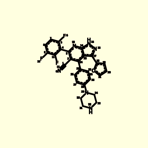 N#Cc1c(-c2c(F)ccc(F)c2F)nc2[nH]nc(-c3ccco3)c2c1-c1ccc(N2CCNCC2)cc1